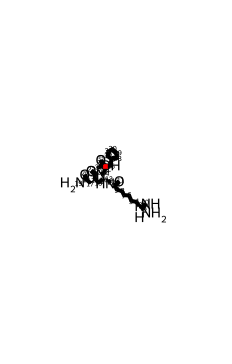 N=C(N)NCCCCCCC(=O)NC[C@@H]1C[C@@H](CC(N)=O)C(=O)[N+]1(CCCc1ccccc1)CC(=O)O